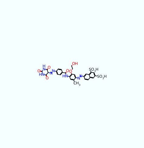 Cc1cc(NC(=O)c2ccc(/N=N/C3C(=O)NC(=O)NC3=O)cc2)c(OCCO)cc1/N=N/c1ccc2cc(S(=O)(=O)O)cc(S(=O)(=O)O)c2c1